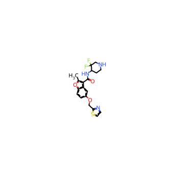 Cc1oc2ccc(OCc3nccs3)cc2c1C(=O)NC1CCNCC1(F)F